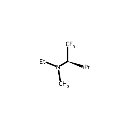 CCN(C)[C@H](C(C)C)C(F)(F)F